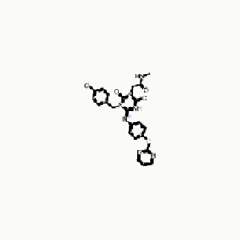 CNC(=O)Cn1c(=O)[nH]/c(=N\c2ccc(Oc3ncccn3)cc2)n(Cc2ccc(Cl)cc2)c1=O